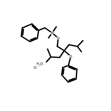 CC(C)CC(CO[N+](C)(C)Cc1ccccc1)(CC(C)C)Oc1ccccc1.O.[Cl-]